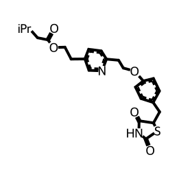 CC(C)CC(=O)OCCc1ccc(CCOc2ccc(CC3SC(=O)NC3=O)cc2)nc1